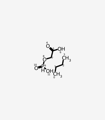 CCCC.O=C(O)CO[PH](=O)O